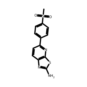 CS(=O)(=O)c1ccc(-c2ccc3nc(N)sc3n2)cc1